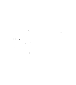 CC(n1nc(-c2ccc(CC(=O)O)cc2)c(C#N)c1N)C(F)(F)F